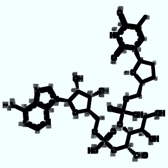 Cc1cn([C@H]2CC[C@@H](COP(=O)(O)O[C@H]([C@H](O)CO)[C@H](C=O)OP(=O)(O)OC[C@H]3O[C@@H](n4cnc5c(N)ncnc54)[C@H](O)[C@@H]3O)O2)c(=O)[nH]c1=O